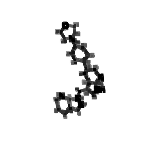 c1cnc2c(c1)cnn2Cc1c[nH]c2ncc(-c3ccc(N4CCOCC4)cc3)cc12